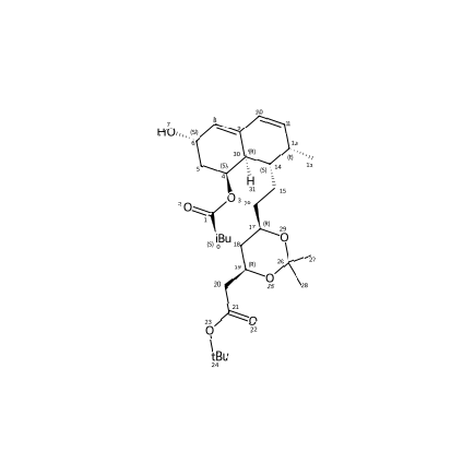 CC[C@H](C)C(=O)O[C@H]1C[C@H](O)C=C2C=C[C@H](C)[C@H](CC[C@@H]3C[C@H](CC(=O)OC(C)(C)C)OC(C)(C)O3)[C@H]21